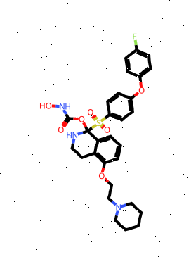 O=C(NO)OC1(S(=O)(=O)c2ccc(Oc3ccc(F)cc3)cc2)NCCc2c(OCCN3CCCCC3)cccc21